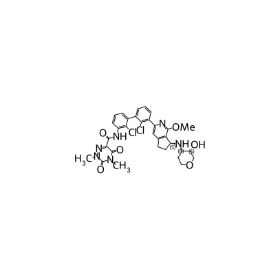 COc1nc(-c2cccc(-c3cccc(NC(=O)c4nn(C)c(=O)n(C)c4=O)c3Cl)c2Cl)cc2c1[C@@H](N[C@@H]1CCOC[C@H]1O)CC2